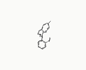 Cc1ccc2c(ccn2-c2ccccc2I)c1